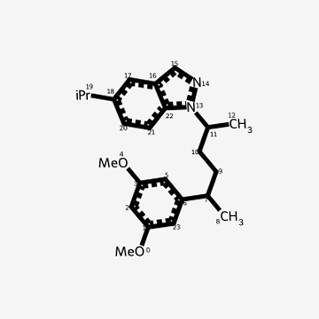 COc1cc(OC)cc(C(C)CCC(C)n2ncc3cc(C(C)C)ccc32)c1